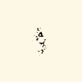 CC(C)(C)[Si](C)(C)OC1[C@H](n2cnc3c(=O)[nH]c(N)nc32)O[C@@H]2COP(=O)(O)O[C@H]3C(O[Si](C)(C)C(C)(C)C)C4(n5cnc6c(N)ncnc65)C[C@H]4[C@@H]3COP(=O)(O)O[C@@H]12